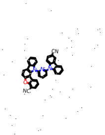 N#Cc1ccc2c(c1)c1ccccc1n2-c1cccc(-n2c3ccccc3c3ccc4oc5c(C#N)cccc5c4c32)n1